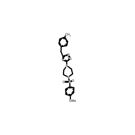 COc1ccc(S(=O)(=O)N2CCN(c3nc(Cc4ccc(C)cc4)ns3)CC2)cc1